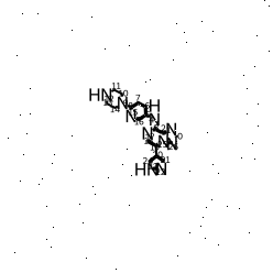 c1nc2c(Nc3ccc(N4CCNCC4)nc3)ncc(-c3cn[nH]c3)n2n1